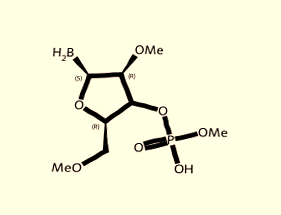 B[C@@H]1O[C@H](COC)C(OP(=O)(O)OC)[C@@H]1OC